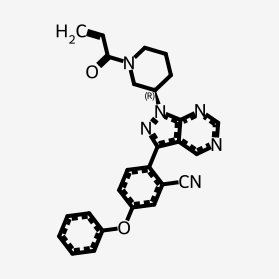 C=CC(=O)N1CCC[C@@H](n2nc(-c3ccc(Oc4ccccc4)cc3C#N)c3cncnc32)C1